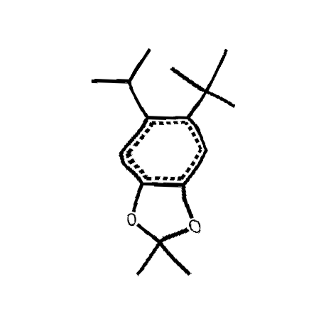 CC(C)c1cc2c(cc1C(C)(C)C)OC(C)(C)O2